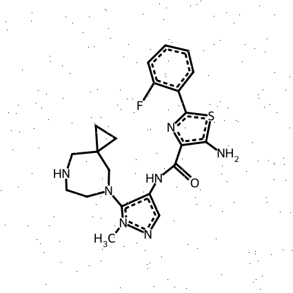 Cn1ncc(NC(=O)c2nc(-c3ccccc3F)sc2N)c1N1CCNCC2(CC2)C1